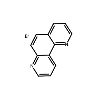 [Er].c1cnc2c(c1)ccc1ncccc12